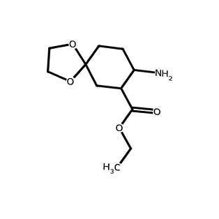 CCOC(=O)C1CC2(CCC1N)OCCO2